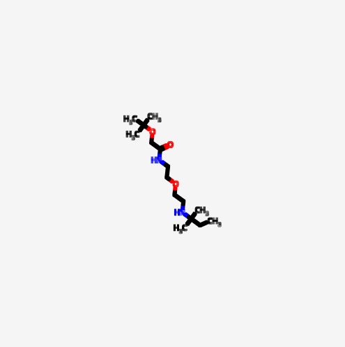 CCC(C)(C)NCCOCCNC(=O)COC(C)(C)C